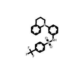 O=S(=O)(Nc1cccc(N2CCCc3ccccc32)c1)c1ccc(C(F)(F)F)cc1